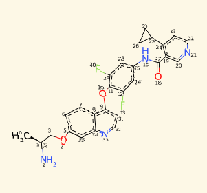 C[C@H](N)COc1ccc2c(Oc3c(F)cc(NC(=O)c4cnccc4C4CC4)cc3F)ccnc2c1